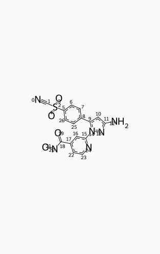 N#CS(=O)(=O)c1ccc(-c2cc(N)nn2-c2cc(C(=O)N=O)ccn2)cc1